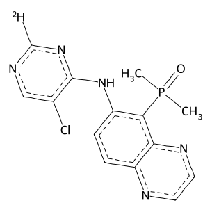 [2H]c1ncc(Cl)c(Nc2ccc3nccnc3c2P(C)(C)=O)n1